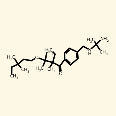 CCC(C)(C)CCOC(C)(C)C(C)(CC)C(=O)c1ccc(CNC(C)(C)N)cc1